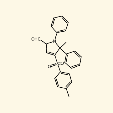 Cc1ccc(S(=O)(=O)C2=CC(C=O)N(c3ccccc3)C2(C)c2ccccc2)cc1